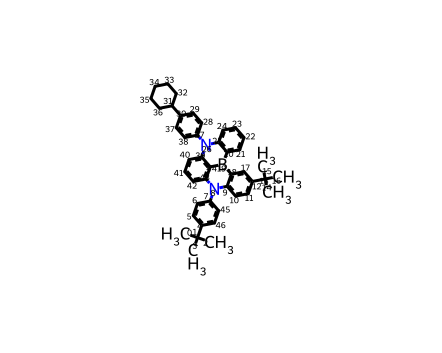 CC(C)(C)c1ccc(N2c3ccc(C(C)(C)C)cc3B3c4ccccc4N(c4ccc(C5CCCCC5)cc4)c4cccc2c43)cc1